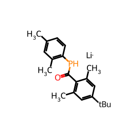 Cc1ccc(PC(=O)c2c(C)cc(C(C)(C)C)cc2C)c(C)c1.[Li]